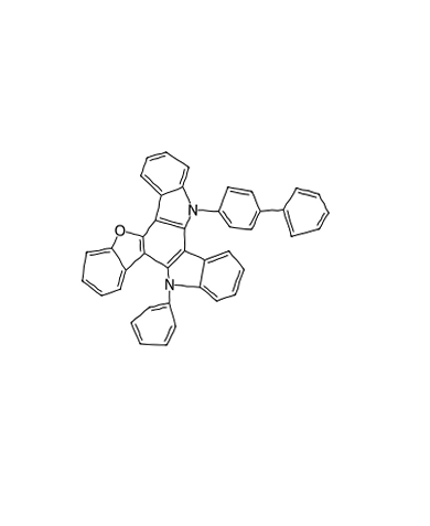 c1ccc(-c2ccc(-n3c4ccccc4c4c5oc6ccccc6c5c5c(c6ccccc6n5-c5ccccc5)c43)cc2)cc1